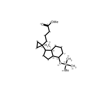 COC(=O)CCCC1(C2CCC3C(O[Si](C)(C)C(C)(C)C)CCC[C@@]32C)CC1